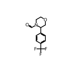 O=CN1CCOCC1c1ccc(C(F)(F)F)cc1